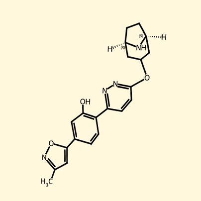 Cc1cc(-c2ccc(-c3ccc(OC4C[C@H]5CC[C@@H](C4)N5)nn3)c(O)c2)on1